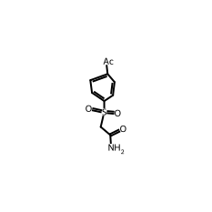 CC(=O)c1ccc(S(=O)(=O)CC(N)=O)cc1